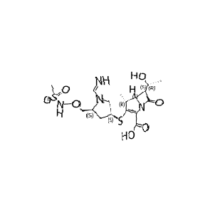 C[C@@H](O)[C@H]1C(=O)N2C(C(=O)O)=C(S[C@H]3C[C@@H](CONS(C)(=O)=O)N(C=N)C3)[C@H](C)[C@H]12